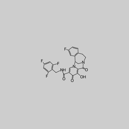 O=C(NCc1c(F)cc(F)cc1F)c1cn2c(c(O)c1=O)C(=O)N1CCc3ccc(F)cc3C2C1